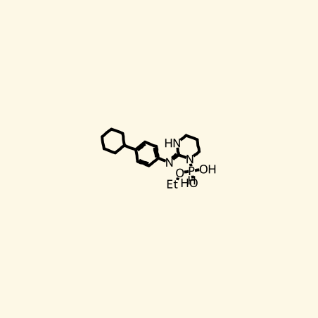 CCO[PH](O)(O)N1CCCNC1=Nc1ccc(C2CCCCC2)cc1